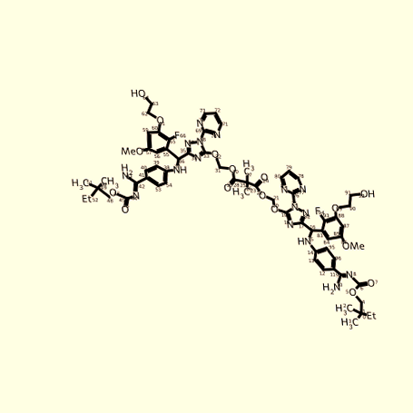 CCC(C)(C)COC(=O)N=C(N)c1ccc(NC(c2nc(OCOC(=O)C(C)(C)C(=O)OCOc3nc(C(Nc4ccc(C(N)=NC(=O)OCC(C)(C)CC)cc4)c4cc(OC)cc(OCCO)c4F)nn3-c3ncccn3)n(-c3ncccn3)n2)c2cc(OC)cc(OCCO)c2F)cc1